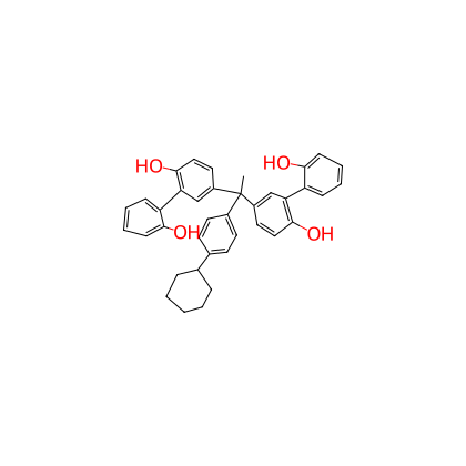 CC(c1ccc(C2CCCCC2)cc1)(c1ccc(O)c(-c2ccccc2O)c1)c1ccc(O)c(-c2ccccc2O)c1